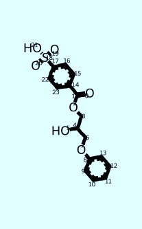 O=C(OCC(O)COc1ccccc1)c1ccc(S(=O)(=O)O)cc1